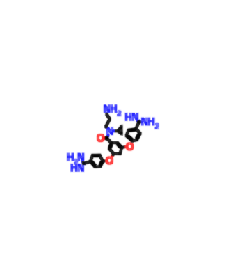 N=C(N)c1ccc(OC2=CC(C(=O)N(CCCN)C3CC3)=CC(Oc3ccc(C(=N)N)cc3)C2)cc1